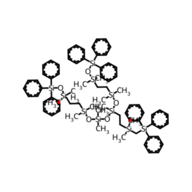 C[Si](C)(CC[Si](C)(O[Si](C)(C)CC[Si](C)(C)O[Si](c1ccccc1)(c1ccccc1)c1ccccc1)O[Si](C)(C)O[Si](C)(C)CC[Si](C)(C)O[Si](c1ccccc1)(c1ccccc1)c1ccccc1)C[Si](c1ccccc1)(c1ccccc1)c1ccccc1